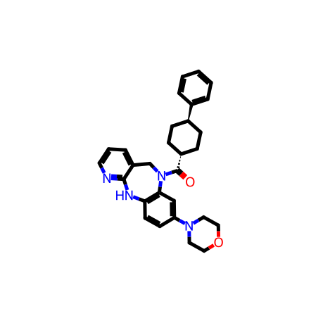 O=C([C@H]1CC[C@H](c2ccccc2)CC1)N1Cc2cccnc2Nc2ccc(N3CCOCC3)cc21